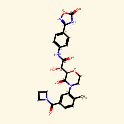 Cc1ccc(C(=O)N2CCC2)cc1N1CCO[C@H]([C@@H](O)C(=O)Nc2ccc(-c3noc(=O)[nH]3)cc2)C1=O